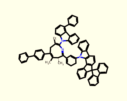 CC/C1=C(n2c3ccccc3c3c(-c4ccccc4)cccc32)/N=C(/C2=CCCC(n3c4ccccc4c4ccc5c(c43)-c3ccccc3C53c4ccccc4-c4ccccc43)=C2)[C@H](C)/C(C)=C(/c2ccc(-c3ccccc3)cc2)C1